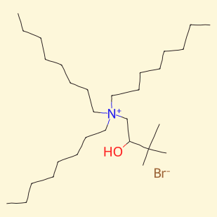 CCCCCCCC[N+](CCCCCCCC)(CCCCCCCC)CC(O)C(C)(C)C.[Br-]